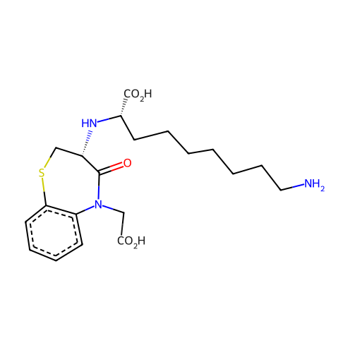 NCCCCCCC[C@H](N[C@H]1CSc2ccccc2N(CC(=O)O)C1=O)C(=O)O